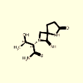 C[C@@H](O)[C@@H](C(N)=O)N1CC2(CCC(=O)N2)C1=N